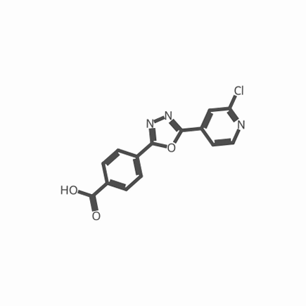 O=C(O)c1ccc(-c2nnc(-c3ccnc(Cl)c3)o2)cc1